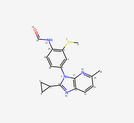 CSc1cc(-n2c(C3CC3)nc3ccc(C)nc32)ccc1NC=O